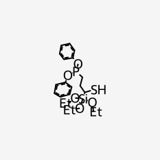 CCO[Si](OCC)(OCC)C(S)CCP(Oc1ccccc1)Oc1ccccc1